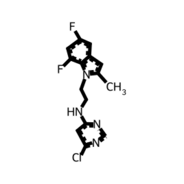 Cc1cc2cc(F)cc(F)c2n1CCNc1cc(Cl)ncn1